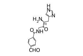 N[C@@H](Cc1c[nH]cn1)C(=O)CNC(=O)c1ccc(C=O)cc1